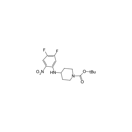 CC(C)(C)OC(=O)N1CCC(Nc2cc(F)c(F)cc2[N+](=O)[O-])CC1